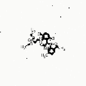 CCOP(=O)(CCNc1c(Cl)ccc(Cl)c1C(Nc1cc(C)ccc1C(C)=O)C(N)=O)OCC